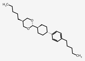 CCCCCc1ccc([C@H]2CC[C@H]([C@H]3OC[C@H](CCCCC)CO3)CC2)cc1